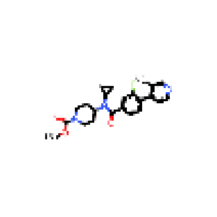 CC(C)(C)OC(=O)N1CCC(N(C(=O)c2ccc(-c3ccncc3C#N)c(F)c2)C2CC2)CC1